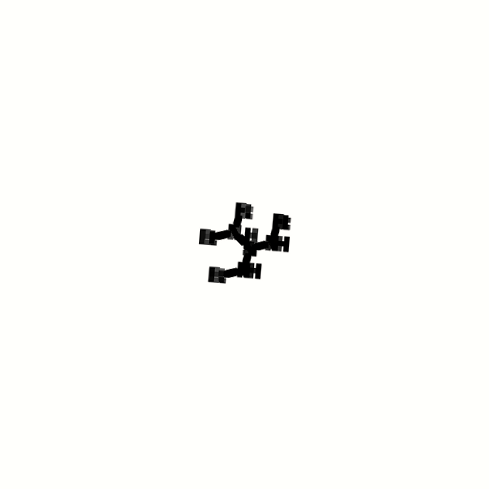 CCN[SiH](NCC)N(CC)CC